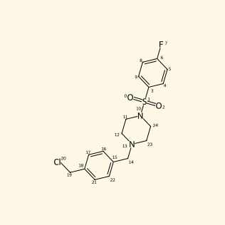 O=S(=O)(c1ccc(F)cc1)N1CCN(Cc2ccc(CCl)cc2)CC1